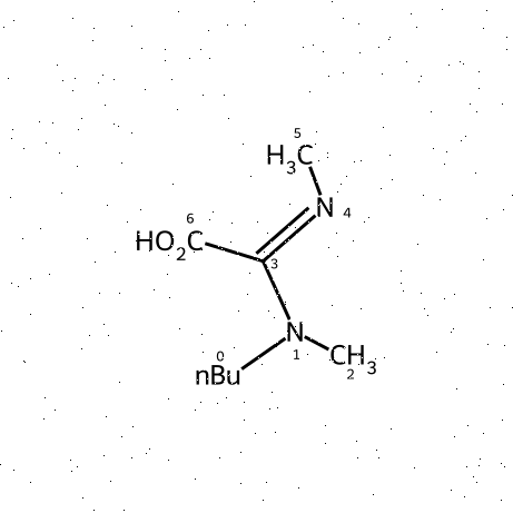 CCCCN(C)/C(=N/C)C(=O)O